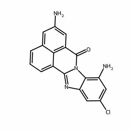 Nc1cc2cccc3c2c(c1)c(=O)n1c3nc2cc(Cl)cc(N)c21